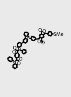 CSc1ccc(C2=c3cc4c(cc3C(=O)O2)=C(c2ccc(-n3c5ccccc5c5cc(-c6cccc(N(C7=c8cc9c(cc8OC7=O)=C(N(c7ccccc7)c7ccccc7)C(=O)O9)c7ccccc7)c6)ccc53)cc2)OC4=O)cc1